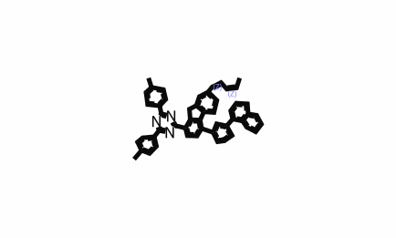 C/C=C\C=C/c1ccc2c(c1)Cc1c(-c3nc(-c4ccc(C)cc4)nc(-c4ccc(C)cc4)n3)ccc(-c3cccc(-c4cccc5ccccc45)c3)c1-2